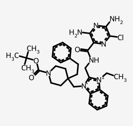 CC[n+]1c(CNC(=O)c2nc(Cl)c(N)nc2N)n(CC2(CCc3ccccc3)CCN(C(=O)OC(C)(C)C)CC2)c2ccccc21